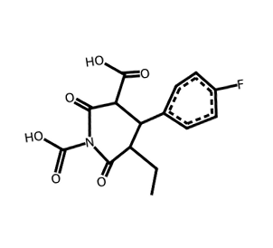 CCC1C(=O)N(C(=O)O)C(=O)C(C(=O)O)C1c1ccc(F)cc1